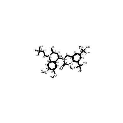 COC(=O)N(Cc1cc(C(F)(F)F)cc(C(F)(F)F)c1)C1CC(C)N(CCC(C)(C)C)c2cc(OC)c(OC)cc21